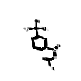 CC(=O)/N=[SH](=O)\c1cccc(C(C)(C)O)c1